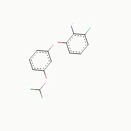 Nc1c(Br)cccc1Oc1cccc(OC(F)F)c1